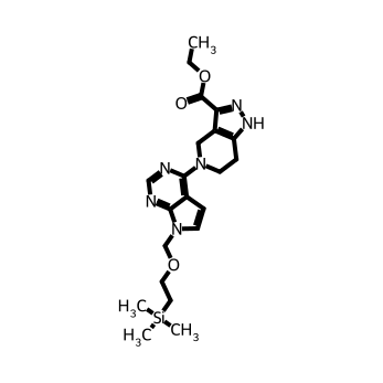 CCOC(=O)c1n[nH]c2c1CN(c1ncnc3c1ccn3COCC[Si](C)(C)C)CC2